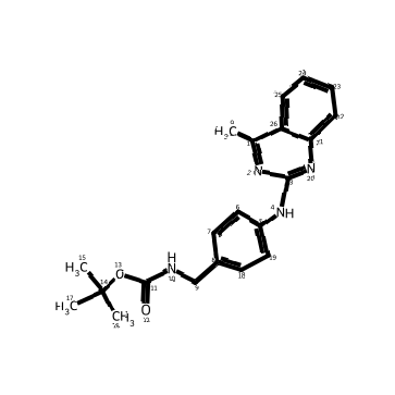 Cc1nc(Nc2ccc(CNC(=O)OC(C)(C)C)cc2)nc2ccccc12